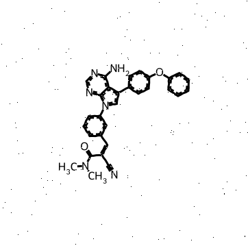 CN(C)C(=O)C(C#N)=Cc1cccc(-n2cc(-c3ccc(Oc4ccccc4)cc3)c3c(N)ncnc32)c1